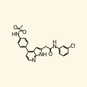 CS(=O)(=O)Nc1ccc(-c2ccnc3[nH]c(CC(=O)Nc4cccc(Cl)c4)cc23)cc1